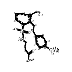 COC(=O)CCNS(=O)(=O)c1cccc(N)c1CCc1ccc(OC)cc1